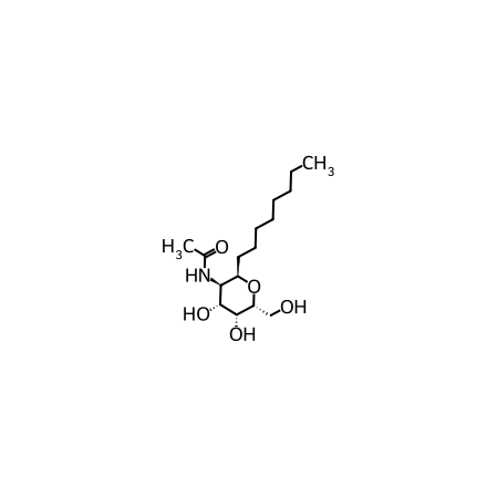 CCCCCCCC[C@H]1O[C@H](CO)[C@H](O)[C@H](O)[C@H]1NC(C)=O